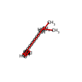 [CH2]CC(CC(COCCCCCCCCCCCC)OCCCCCCCCCCCC)NC(=O)CCC(=O)NCCOCCOCCOCCOCCOCCOCCOCCOCCOCCOCCOCCOCCC(=O)NCCC1(C(=O)N[C@@H](Cc2ccc(NC(=O)c3c(Cl)cccc3Cl)cc2)C(=O)O)CCCC1